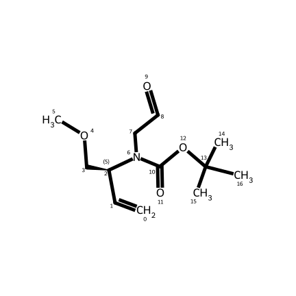 C=C[C@@H](COC)N(CC=O)C(=O)OC(C)(C)C